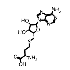 Nc1ncnc2c1ncn2C1O[C@H](CSCC[C@@H](N)C(=O)O)[C@@H](O)[C@H]1O